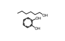 CCCCCCO.Oc1ccccc1O